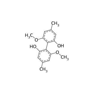 COc1cc(C)cc(O)c1-c1c(O)cc(C)cc1OC